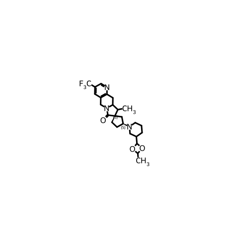 CC1OC(C2CCCN([C@H]3CC[C@@]4(C3)C(=O)N3Cc5cc(C(F)(F)F)cnc5CC3C4C)C2)O1